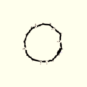 [C]1CCCCCCC/C=C\CCCCCCC1